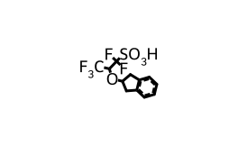 O=S(=O)(O)C(F)(F)C(OC1Cc2ccccc2C1)C(F)(F)F